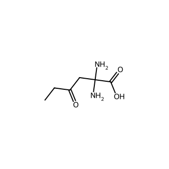 CCC(=O)CC(N)(N)C(=O)O